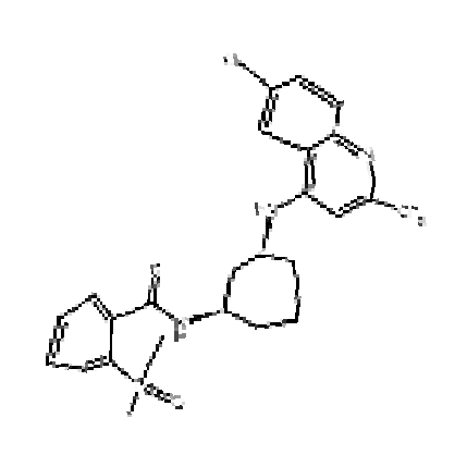 CP(C)(=O)c1ccccc1C(=O)N[C@@H]1CCC[C@H](Nc2cc(C(F)(F)F)nc3ccc(Cl)cc23)C1